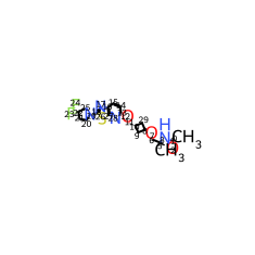 CC(=O)N[C@@H](C)CO[C@H]1C[C@H](COc2ccc3nc(N4CCC(F)(F)C4)sc3n2)C1